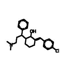 CN(C)CCC(c1ccccc1)C1CCCC(=Cc2ccc(Cl)cc2)C1O